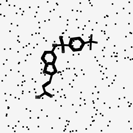 CC(C)(C)c1ccc(S(=O)(=O)Nc2ccc3sc(C=CC(=O)O)cc3c2)cc1